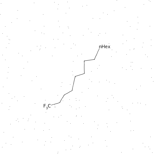 [CH2]CCCCCCCCCCCCC(F)(F)F